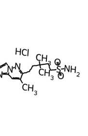 Cc1cc2nccn2nc1CCC(C)(C)CCS(N)(=O)=O.Cl